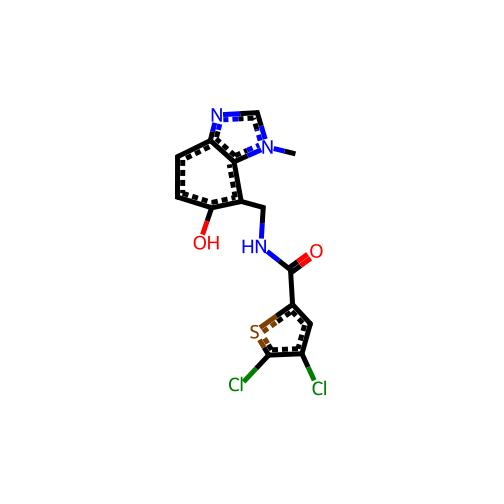 Cn1cnc2ccc(O)c(CNC(=O)c3cc(Cl)c(Cl)s3)c21